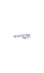 O=C(NC1CCc2ccc(C(=O)N3CCC4(CC3)CCN(c3ccncc3)CC4)cc21)c1c(Cl)cccc1C(F)(F)F